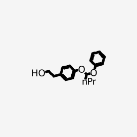 CCCC(Oc1ccccc1)Oc1ccc(CCO)cc1